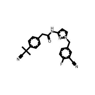 CC(C)(C#N)c1ccc(CC(=O)Nc2ccn(Cc3ccc(F)c(C#N)c3)n2)cc1